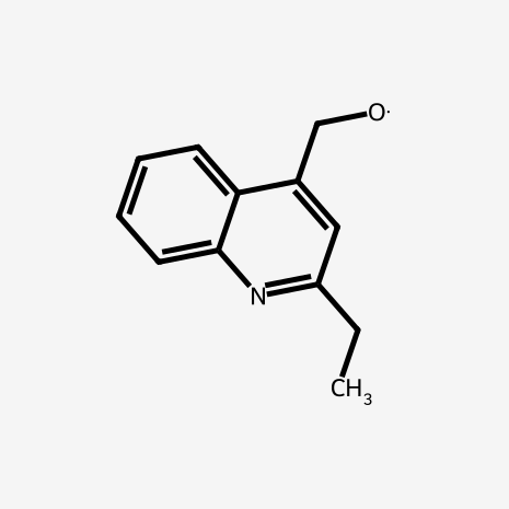 CCc1cc(C[O])c2ccccc2n1